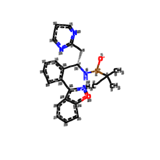 CC(C)(C)[S+]([O-])N[C@@H](Cc1ncccn1)c1ccccc1-c1noc2ccccc12